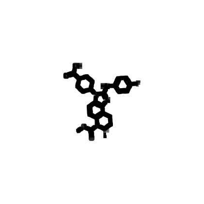 COC(=O)N1c2ccc3c(nc(Nc4ccc(F)cc4)n3C3CCC(C(=O)O)CC3)c2CC[C@@H]1C